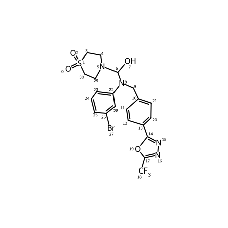 O=S1(=O)CCN(C(O)N(Cc2ccc(-c3nnc(C(F)(F)F)o3)cc2)c2cccc(Br)c2)CC1